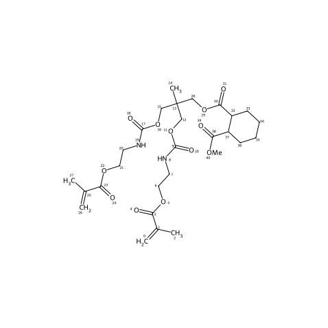 C=C(C)C(=O)OCCNC(=O)OCC(C)(COC(=O)NCCOC(=O)C(=C)C)COC(=O)C1CCCCC1C(=O)OC